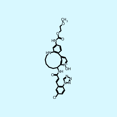 COCCOC(=O)Nc1ccc2c(c1)NCCCCCC(NC(=O)/C=C/c1cc(Cl)ccc1-n1cnnn1)c1cc-2cc[n+]1O